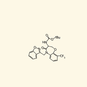 CC(C)(C)OC(=O)NC1COc2c(cccc2C(F)(F)F)N(Cc2noc3ccccc23)C1=O